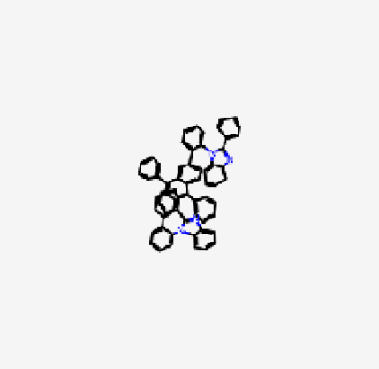 c1ccc(-c2c3ccc(-c4ccccc4-n4c(-c5ccccc5)nc5ccccc54)cc3c(-c3ccccc3)c3ccc(-c4ccccc4-n4c(-c5ccccc5)nc5ccccc54)cc23)cc1